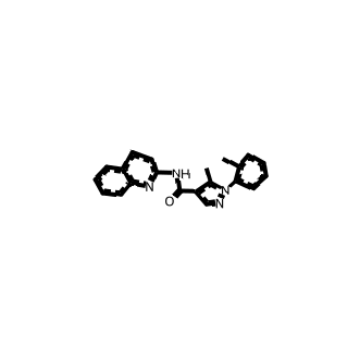 Cc1ccccc1-n1ncc(C(=O)Nc2ccc3ccccc3n2)c1C